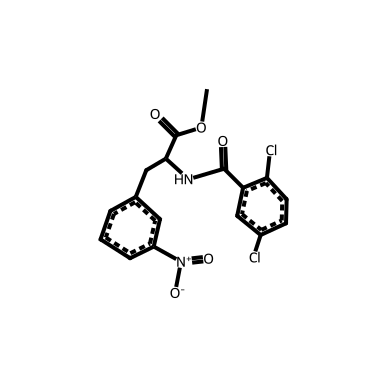 COC(=O)C(Cc1cccc([N+](=O)[O-])c1)NC(=O)c1cc(Cl)ccc1Cl